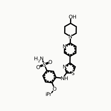 CC(C)Oc1ccc(S(N)(=O)=O)cc1Nc1nc(-c2ccc(N3CCC(O)CC3)nc2)cs1